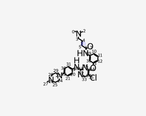 CN(C)C/C=C/C(=O)Nc1cccc(Oc2nc(Nc3ccc(N4CCN(C)CC4)cc3)ncc2Cl)c1